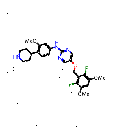 COc1cc(Nc2ncc(OCc3c(F)c(OC)cc(OC)c3F)cn2)ccc1C1CCNCC1